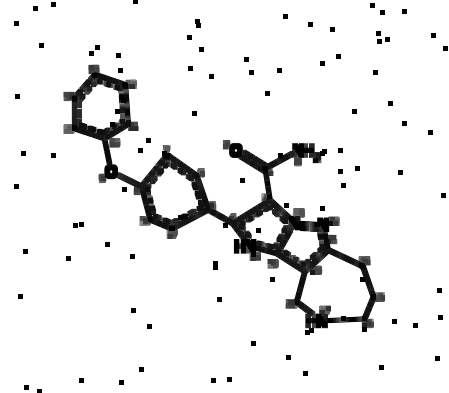 NC(=O)c1c(-c2ccc(Oc3ccccc3)cc2)[nH]c2c3c(nn12)CCCNC3